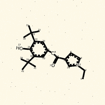 CCn1ccc(C(=O)Cc2cc(C(C)(C)C)c(O)c(C(C)(C)C)c2)c1